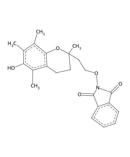 Cc1c(C)c2c(c(C)c1O)CCC(C)(CCON1C(=O)c3ccccc3C1=O)O2